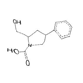 O=C(O)N1CC(c2ccccc2)CC1CO